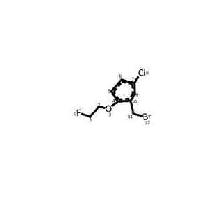 FCCOc1ccc(Cl)cc1CBr